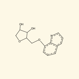 OC1COC(COc2cccc3cccnc23)C1O